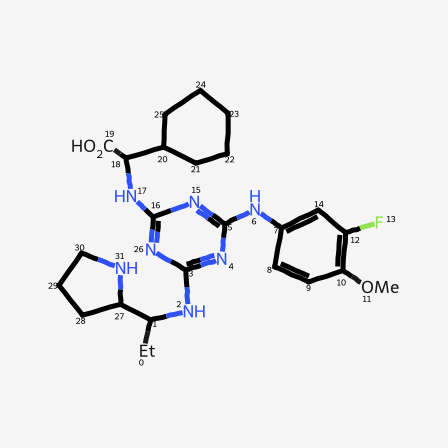 CCC(Nc1nc(Nc2ccc(OC)c(F)c2)nc(NC(C(=O)O)C2CCCCC2)n1)C1CCCN1